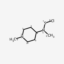 CN1CCC(N(C)SCl)CC1